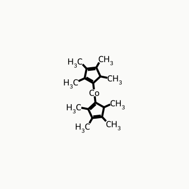 CC1=C(C)C(C)[C]([Co][C]2=C(C)C(C)=C(C)C2C)=C1C